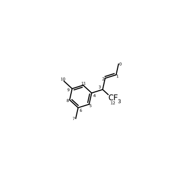 C/C=C/C(c1cc(C)cc(C)c1)C(F)(F)F